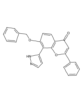 O=c1cc(-c2ccccc2)oc2c(-c3ccn[nH]3)c(OCc3ccccc3)ccc12